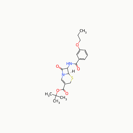 CCCOc1cccc(C(=O)NC2C(=O)N3C=C(C(=O)OC(C)(C)C)CS[C@H]23)c1